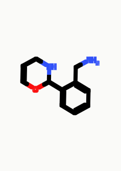 NCc1ccccc1C1NCC=CO1